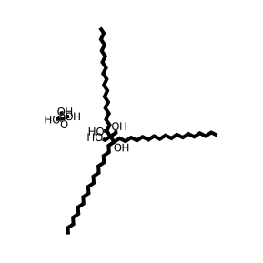 CCCCCCCCCCCCCCCCCCC(O)C(CO)(CO)C(O)(CCCCCCCCCCCCCCCCCC)CCCCCCCCCCCCCCCCCC.O=P(O)(O)O